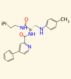 Cc1ccc(NC[C@H](NC(=O)c2cc(-c3ccccc3)ccn2)C(=O)NCCC(C)C)cc1